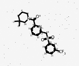 CC1(C)CCCN(C(=O)c2cccc(CS(=O)(=O)c3cccc(C(F)(F)F)c3)n2)C1